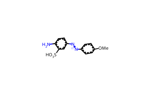 COc1ccc(/N=N/c2ccc(N)c(S(=O)(=O)O)c2)cc1